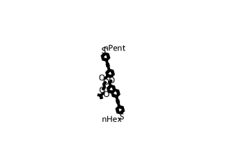 C=C(C)C(=O)OCCOC(=O)c1cc(C#Cc2ccc(SCCCCC)cc2)ccc1OCc1ccc2cc(C#Cc3ccc(SCCCCCC)cc3)ccc2c1